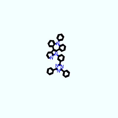 c1ccc(-c2nc(-c3ccccc3)nc(-c3cccc(-n4c5c(c6cccnc64)-c4ccccc4N(c4ccccc4)c4ccccc4-5)c3)n2)cc1